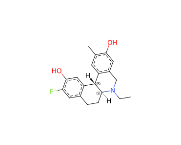 CCN1Cc2cc(O)c(C)cc2[C@H]2c3cc(O)c(F)cc3CC[C@@H]21